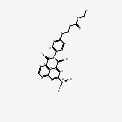 CCOC(=O)CCCc1ccc(N2C(=O)c3cccc4cc([N+](=O)[O-])cc(c34)C2=O)cc1